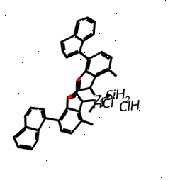 CC1=Cc2c(-c3cccc4ccccc34)ccc(C)c2[CH]1[Zr]([CH3])([CH3])(=[SiH2])[CH]1C(C)=Cc2c(-c3cccc4ccccc34)ccc(C)c21.Cl.Cl